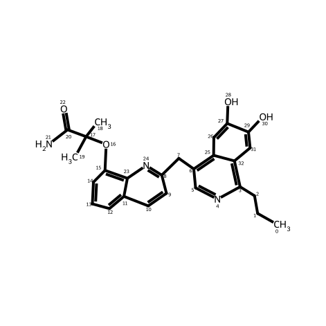 CCCc1ncc(Cc2ccc3cccc(OC(C)(C)C(N)=O)c3n2)c2cc(O)c(O)cc12